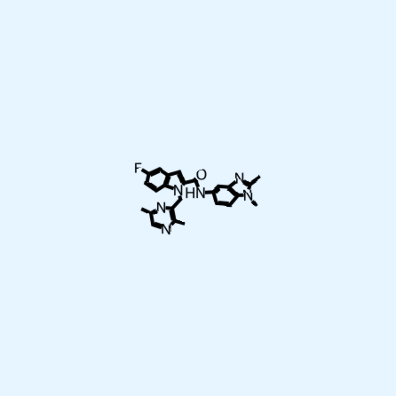 Cc1cnc(C)c(Cn2c(C(=O)Nc3ccc4c(c3)nc(C)n4C)cc3cc(F)ccc32)n1